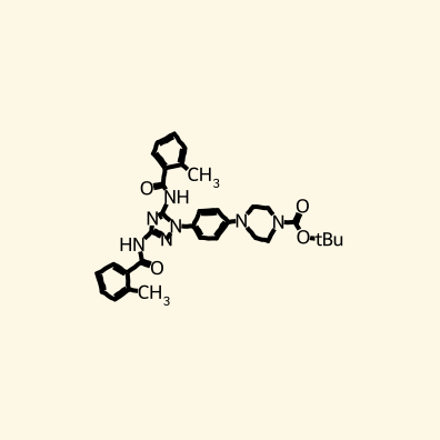 Cc1ccccc1C(=O)Nc1nc(NC(=O)c2ccccc2C)n(-c2ccc(N3CCN(C(=O)OC(C)(C)C)CC3)cc2)n1